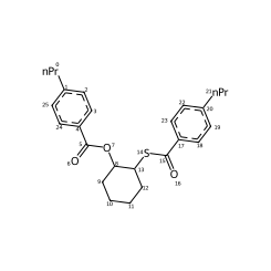 CCCc1ccc(C(=O)OC2CCCCC2SC(=O)c2ccc(CCC)cc2)cc1